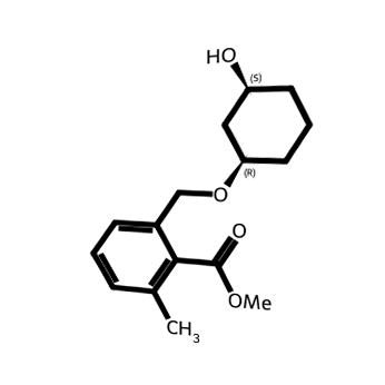 COC(=O)c1c(C)cccc1CO[C@@H]1CCC[C@H](O)C1